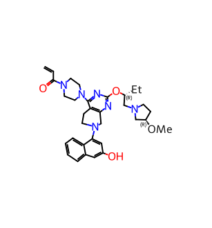 C=CC(=O)N1CCN(c2nc(O[C@H](CC)CN3CC[C@@H](OC)C3)nc3c2CCN(c2cc(O)cc4ccccc24)C3)CC1